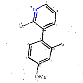 CCc1ncccc1-c1ccc(OC)cc1C